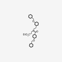 CCOC(=O)CCN(CCc1cccc(OCc2ccccc2)c1)C(=O)c1ccc(OCc2ccccc2)cc1